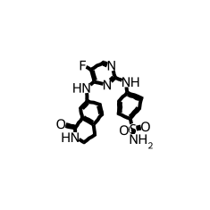 NS(=O)(=O)c1ccc(Nc2ncc(F)c(Nc3ccc4c(c3)C(=O)NCC4)n2)cc1